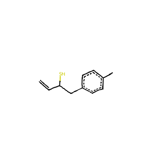 C=CC(S)Cc1ccc(C)cc1